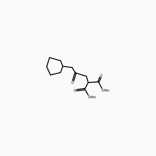 COC(=O)C(CC(=O)CC1CCCCC1)C(=O)OC